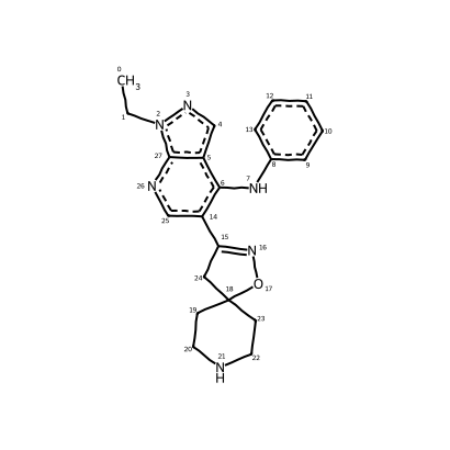 CCn1ncc2c(Nc3ccccc3)c(C3=NOC4(CCNCC4)C3)cnc21